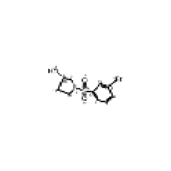 CCc1cccc(S(=O)(=O)N2CC[C@H](O)C2)c1